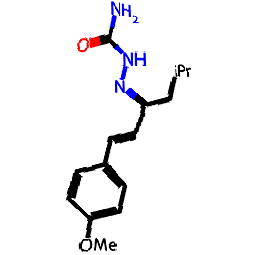 COc1ccc(C=CC(CC(C)C)=NNC(N)=O)cc1